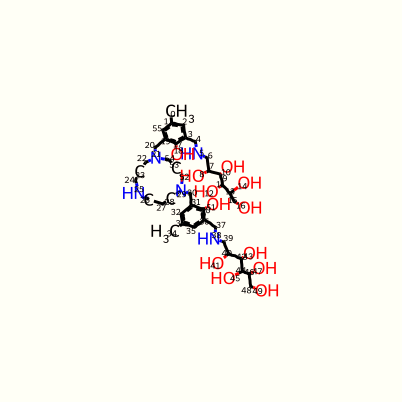 Cc1cc(CNCC(O)C(O)C(O)C(O)CO)c(O)c(CN2CCCNCCCN(Cc3cc(C)cc(CNCC(O)C(O)C(O)C(O)CO)c3O)CCC2)c1